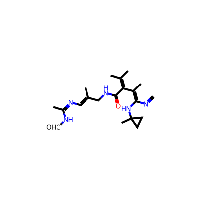 C=N/C(NC1(C)CC1)=C(\C)C(C(=O)NC/C(C)=C/N=C(/C)NC=O)=C(C)C